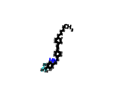 CCCCCCc1ccc(C#Cc2ccc(CNCc3ccc(C(F)(F)F)cc3)cc2)cc1